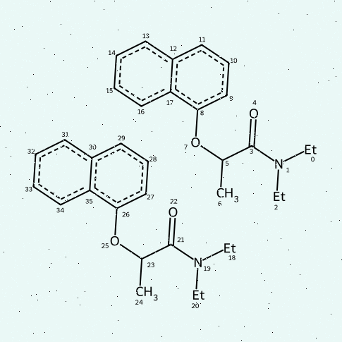 CCN(CC)C(=O)C(C)Oc1cccc2ccccc12.CCN(CC)C(=O)C(C)Oc1cccc2ccccc12